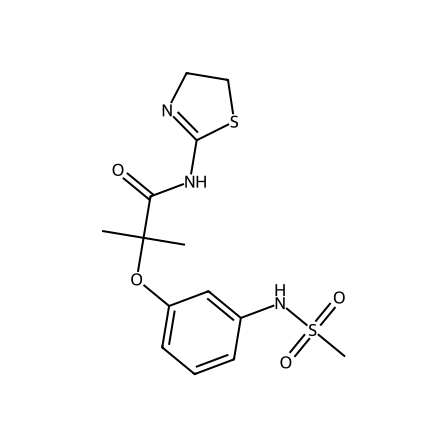 CC(C)(Oc1cccc(NS(C)(=O)=O)c1)C(=O)NC1=NCCS1